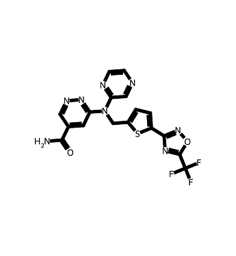 NC(=O)c1cnnc(N(Cc2ccc(-c3noc(C(F)(F)F)n3)s2)c2cnccn2)c1